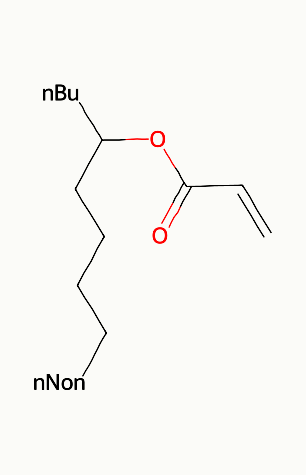 C=CC(=O)OC(CCCC)CCCCCCCCCCCCC